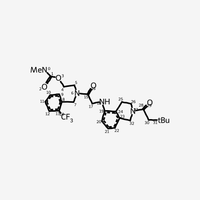 CNC(=O)OCCN(Cc1ccccc1C(F)(F)F)C(=O)CNc1cccc2c1CCN(C(=O)CC(C)(C)C)C2